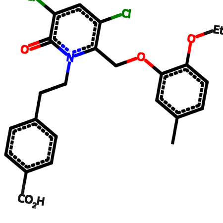 CCOc1ccc(C)cc1OCc1c(Cl)cc(Cl)c(=O)n1CCc1ccc(C(=O)O)cc1